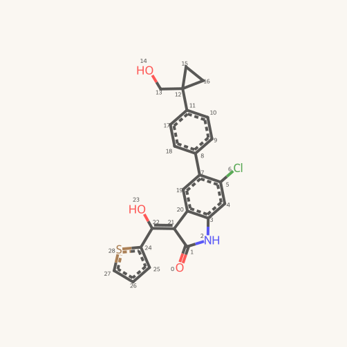 O=C1Nc2cc(Cl)c(-c3ccc(C4(CO)CC4)cc3)cc2/C1=C(\O)c1cccs1